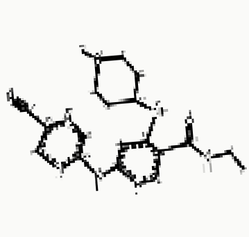 CCNC(=O)c1cnc(Nc2cnc(C#N)cn2)cc1NC1CCN(C)CC1